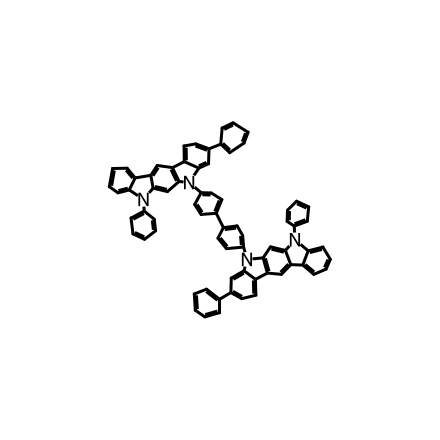 c1ccc(-c2ccc3c4cc5c6ccccc6n(-c6ccccc6)c5cc4n(-c4ccc(-c5ccc(-n6c7cc(-c8ccccc8)ccc7c7cc8c9ccccc9n(-c9ccccc9)c8cc76)cc5)cc4)c3c2)cc1